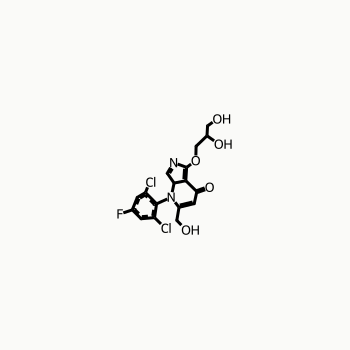 O=C1C=C(CO)N(c2c(Cl)cc(F)cc2Cl)C2C=NC(OCC(O)CO)=C12